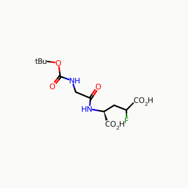 CC(C)(C)OC(=O)NCC(=O)N[C@@H](CC(F)C(=O)O)C(=O)O